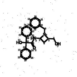 O=C(NC1CC(CO)N1Cc1ccccc1)C(O)(c1ccccc1)c1ccccc1